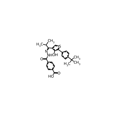 CC(C)C(=NNC(=O)c1ccc(C(=O)O)cc1)c1csc(-c2ccc(C(C)(C)C)cc2)c1O